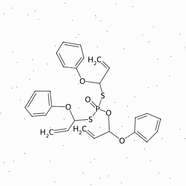 C=CC(Oc1ccccc1)OP(=O)(SC(C=C)Oc1ccccc1)SC(C=C)Oc1ccccc1